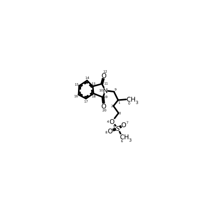 CC(CCOS(C)(=O)=O)CN1C(=O)c2ccccc2C1=O